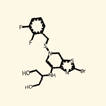 OCC(CO)NC1=CN(SCc2cccc(F)c2F)Cc2sc(Br)nc21